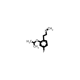 C=NCCc1ccc(F)cc1OC(C)C